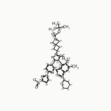 Cc1cc2c(cnn2C2CCCCO2)c(-c2c(-c3ccc(-n4ccc([N+](=O)[O-])n4)nc3)nn(C3CC4(C3)CN(C(=O)OC(C)(C)C)C4)c2C)c1Cl